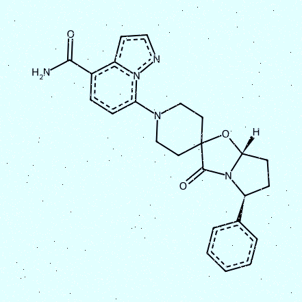 NC(=O)c1ccc(N2CCC3(CC2)O[C@@H]2CC[C@@H](c4ccccc4)N2C3=O)n2nccc12